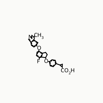 Cn1ncc2ccc(Oc3ccc(F)c4c3CCC4Oc3ccc(C4C[C@@H]4C(=O)O)cc3)cc21